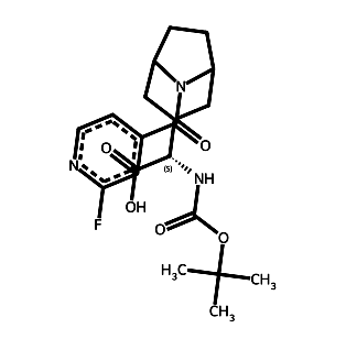 CC(C)(C)OC(=O)N[C@H](C(=O)O)C1CC2CCC(C1)N2C(=O)c1ccnc(F)c1